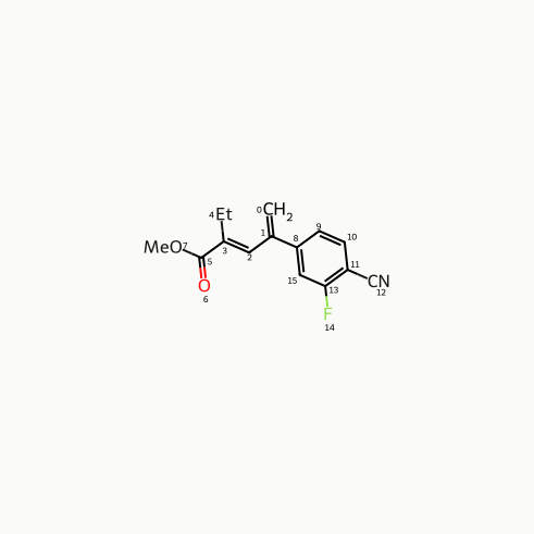 C=C(/C=C(\CC)C(=O)OC)c1ccc(C#N)c(F)c1